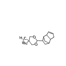 CCC(C)C1(C)COC(C2CC3CC2C2C=CCC32)OC1